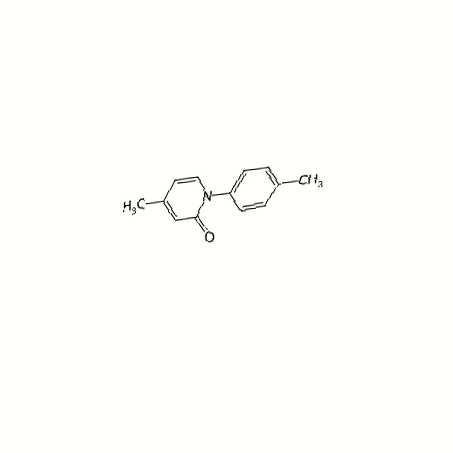 Cc1ccc(-n2ccc(C)cc2=O)cc1